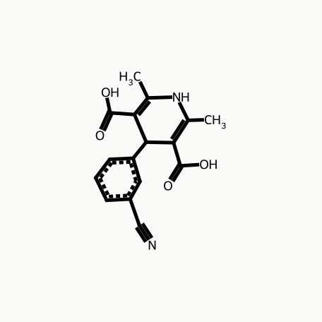 CC1=C(C(=O)O)C(c2cccc(C#N)c2)C(C(=O)O)=C(C)N1